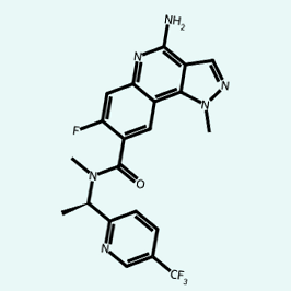 C[C@H](c1ccc(C(F)(F)F)cn1)N(C)C(=O)c1cc2c(cc1F)nc(N)c1cnn(C)c12